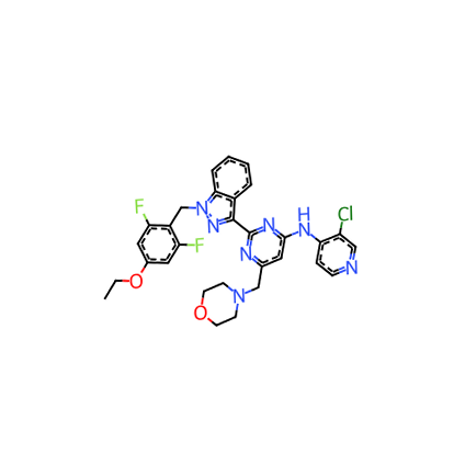 CCOc1cc(F)c(Cn2nc(-c3nc(CN4CCOCC4)cc(Nc4ccncc4Cl)n3)c3ccccc32)c(F)c1